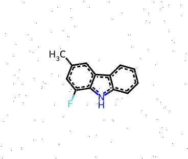 Cc1cc(F)c2[nH]c3ccccc3c2c1